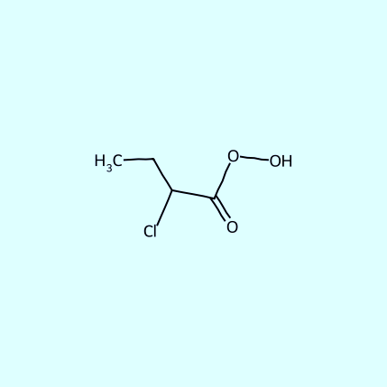 CCC(Cl)C(=O)OO